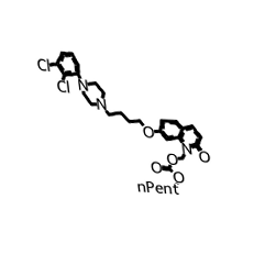 CCCCCOC(=O)OCn1c(=O)ccc2ccc(OCCCCN3CCN(c4cccc(Cl)c4Cl)CC3)cc21